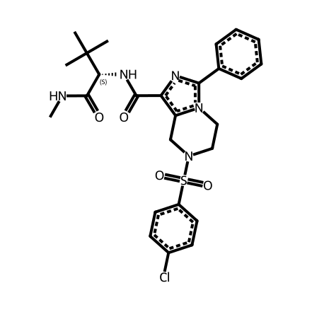 CNC(=O)[C@@H](NC(=O)c1nc(-c2ccccc2)n2c1CN(S(=O)(=O)c1ccc(Cl)cc1)CC2)C(C)(C)C